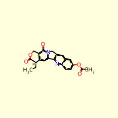 BC(=O)Oc1ccc2nc3c(cc2c1)Cn1c-3cc2c(c1=O)COC(=O)[C@@H]2CC